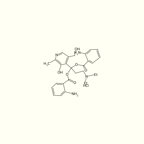 CCN(CC)CCC(OC(=O)c1ccccc1N)(OC(=O)c1ccccc1N)c1c(CO)cnc(C)c1O.Cl